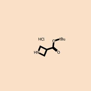 CC(C)(C)OC(=O)C1CNC1.Cl